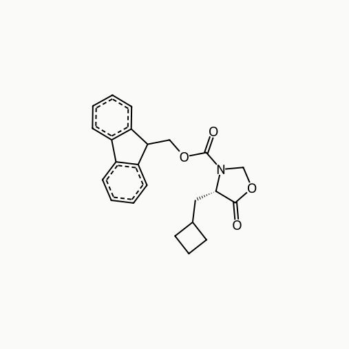 O=C1OCN(C(=O)OCC2c3ccccc3-c3ccccc32)[C@H]1CC1CCC1